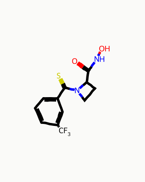 O=C(NO)C1CCN1C(=S)c1cccc(C(F)(F)F)c1